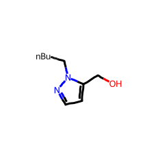 CCCCCn1nccc1CO